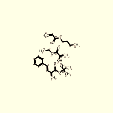 C=C(C=Cc1ccccc1)C(=O)OC(C)(C)C.C=C(O)C(=O)OCC.C=CC(=O)OCCCC